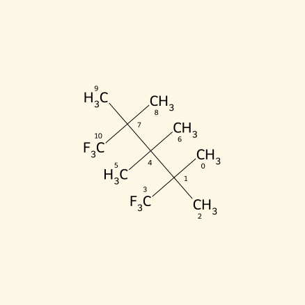 CC(C)(C(F)(F)F)C(C)(C)C(C)(C)C(F)(F)F